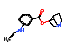 C=CNc1cccc(C(=O)OC2CN3CCC2CC3)c1